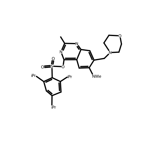 CNc1cc2c(OS(=O)(=O)c3c(C(C)C)cc(C(C)C)cc3C(C)C)nc(C)nc2cc1CN1CCOCC1